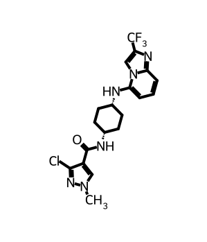 Cn1cc(C(=O)N[C@H]2CC[C@@H](Nc3cccc4nc(C(F)(F)F)cn34)CC2)c(Cl)n1